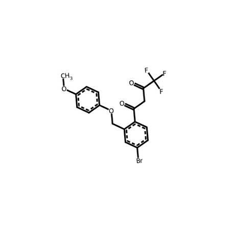 COc1ccc(OCc2cc(Br)ccc2C(=O)CC(=O)C(F)(F)F)cc1